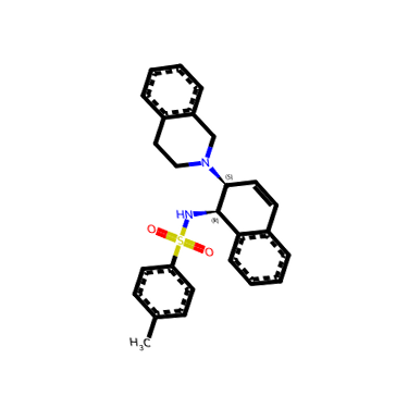 Cc1ccc(S(=O)(=O)N[C@@H]2c3ccccc3C=C[C@@H]2N2CCc3ccccc3C2)cc1